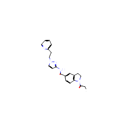 CCC(=O)N1CCc2cc(C(=O)Nc3ccn(CCc4ccccn4)n3)ccc21